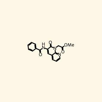 COC(=O)Cn1c(=O)c(NC(=O)c2ccccc2)cc2cccnc21